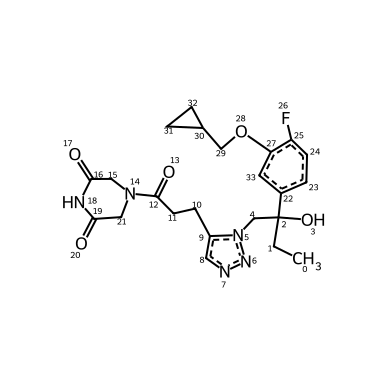 CCC(O)(Cn1nncc1CCC(=O)N1CC(=O)NC(=O)C1)c1ccc(F)c(OCC2CC2)c1